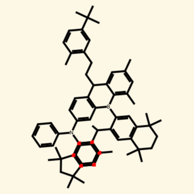 Cc1cc(C)c2c(c1)C(CCc1cc(C(C)(C)C)ccc1C)c1ccc(N(c3ccccc3)c3ccccc3)cc1B2c1cc2c(cc1C(C)c1cc3c(cc1C)C(C)(C)CC3(C)C)C(C)(C)CCC2(C)C